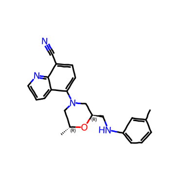 Cc1cccc(NC[C@@H]2CN(c3ccc(C#N)c4ncccc34)C[C@@H](C)O2)c1